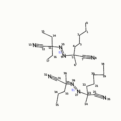 CCCCCC(C)(C#N)/N=N/C(C#N)(CC)CC.CCCCCC(C)(C#N)/N=N/C(C)(C#N)CCC